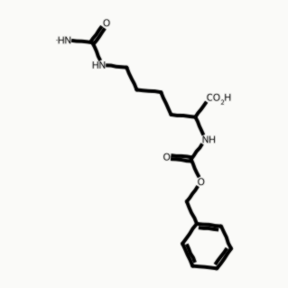 [NH]C(=O)NCCCCC(NC(=O)OCc1ccccc1)C(=O)O